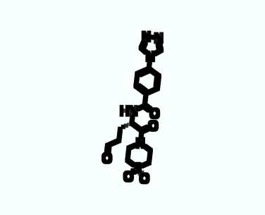 O=CCC[C@H](NC(=O)c1ccc(-n2cnnc2)cc1)C(=O)N1CCS(=O)(=O)CC1